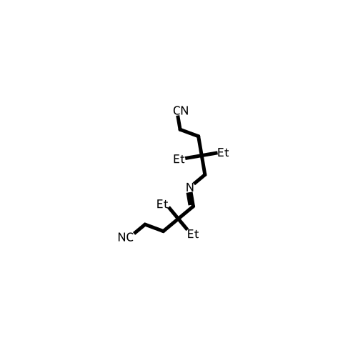 CCC(C=NCC(CC)(CC)CCC#N)(CC)CCC#N